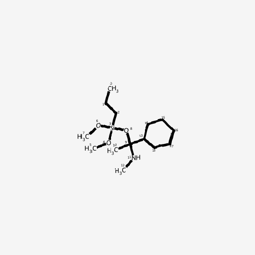 CCC[Si](OC)(OC)OC(C)(NC)C1CCCCC1